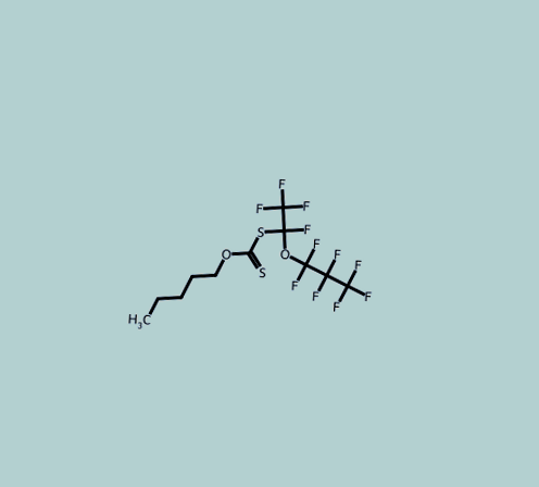 CCCCCOC(=S)SC(F)(OC(F)(F)C(F)(F)C(F)(F)F)C(F)(F)F